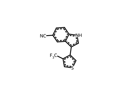 N#Cc1ccc2[nH]cc(-c3cscc3C(F)(F)F)c2c1